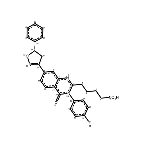 O=C(O)CCCCc1nc2cc(C3=NO[C@H](c4ccccc4)C3)ccc2c(=O)n1-c1ccc(F)cc1